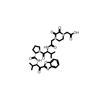 CC(C)[C@H](NC(=O)[C@@H]1CCCN1C(=O)[C@@H](NC(=O)CN1CCN(CC(=O)O)C(=O)C1=O)C(C)C)C(=O)c1nc2ccccc2o1